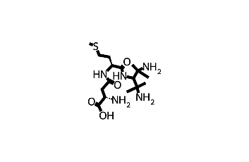 CSCC[C@H](NC(=O)C[C@H](N)C(=O)O)C(=O)NC(C(C)(C)N)C(C)(C)N